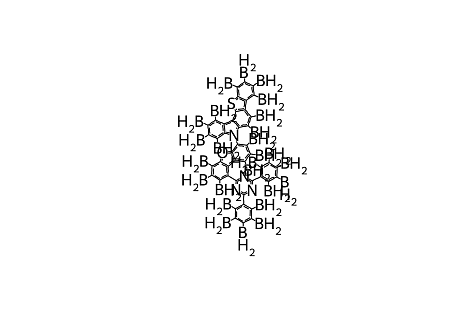 Bc1c(B)c(B)c(-c2nc(-c3c(B)c(B)c(B)c(B)c3B)nc(-c3c(B)c(B)c(B)c4oc5c(-n6c7c(B)c(B)c(B)c(B)c7c7c8sc9c(B)c(B)c(B)c(B)c9c8c(B)c(B)c76)c(B)c(B)c(B)c5c34)n2)c(B)c1B